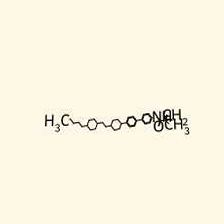 C=C(C)C(=O)Nc1ccc(-c2ccc(C3CCC(CCC4CCC(CCCCC)CC4)CC3)cc2)cc1